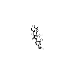 CCC(=O)O[C@H]1[C@@H](F)[C@H](n2ccc(N)nc2=O)O[C@]1(CCl)COC(C)C=O